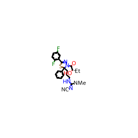 CC[C@H](O)C(=O)N1N=C(c2cc(F)ccc2F)SC1(CCCN/C(=N\C#N)NC)c1ccccc1